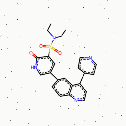 CCN(CC)S(=O)(=O)c1cc(-c2ccc3nccc(-c4ccncc4)c3c2)c[nH]c1=O